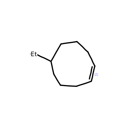 C[CH]C1CCC/C=C\CCC1